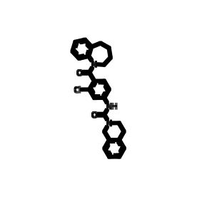 O=C(Nc1ccc(C(=O)N2CCCCc3ccccc32)c(Cl)c1)N1CCc2ccccc2C1